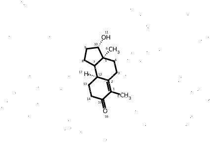 CC1=C2CC[C@@]3(C)C(CC[C@@H]3O)[C@@H]2CCC1=O